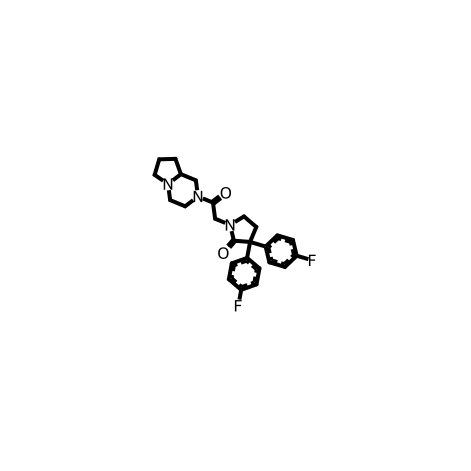 O=C(CN1CCC(c2ccc(F)cc2)(c2ccc(F)cc2)C1=O)N1CCN2CCCC2C1